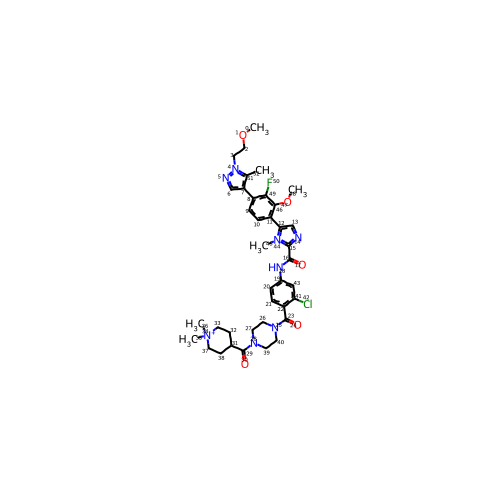 COCCn1ncc(-c2ccc(-c3cnc(C(=O)Nc4ccc(C(=O)N5CCN(C(=O)C6CC[N+](C)(C)CC6)CC5)c(Cl)c4)n3C)c(OC)c2F)c1C